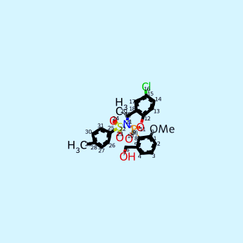 COc1cccc(CO)c1[P@@]1(=O)Oc2ccc(Cl)cc2[C@@H](C)N1S(=O)(=O)c1ccc(C)cc1